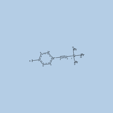 CC(C)[Si](C#Cc1ccc(I)cc1)(C(C)C)C(C)C